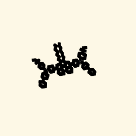 CCCCCCCCc1cc(-c2ccc(N(c3ccc(-c4ccccc4)cc3)c3ccc(C(C)(C)CC)cc3)cc2)c2ccccc2c1-c1c(CCCCCCCC)cc(-c2ccc(N(c3ccc(-c4ccccc4)cc3)c3ccc(C(C)(C)CC)cc3)cc2)c2ccccc12